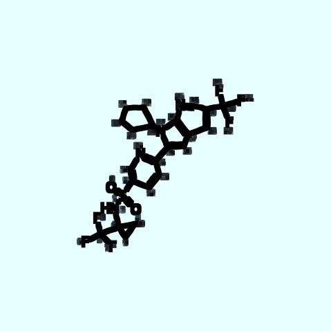 O=S(=O)(NC1(C(F)(F)F)CC1)c1ccc(-c2cc3cc(C(F)(F)F)cnc3n2C2CCCC2)nc1